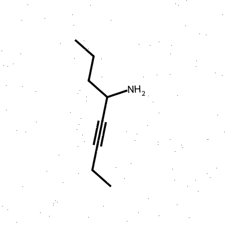 CCC#CC(N)CCC